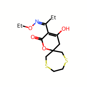 CCO/N=C(/CC)C1=C(O)CC2(CSCCSC2)OC1=O